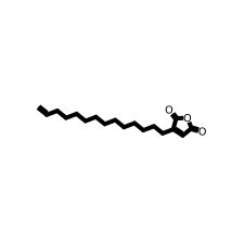 C=CCCCCCCCCCCCCC1=CC(=O)OC1=O